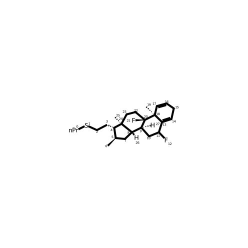 CCCSCC[C@H]1[C@H](C)C[C@H]2[C@@H]3CC(F)C4=CCC=C[C@]4(C)[C@@]3(F)CC[C@]12C